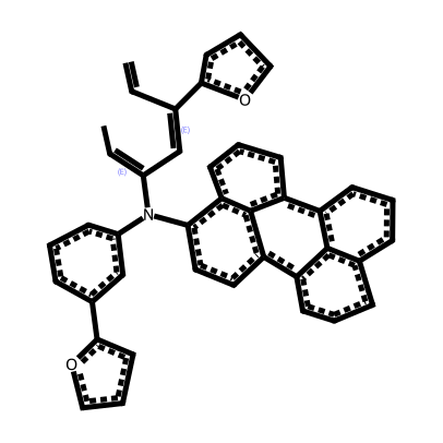 C=C/C(=C\C(=C/C)N(c1cccc(-c2ccco2)c1)c1ccc2c3cccc4cccc(c5cccc1c52)c43)c1ccco1